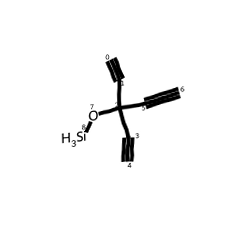 C#CC(C#C)(C#C)O[SiH3]